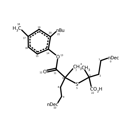 CCCCCCCCCCCCC(C)(SC(C)(CCCCCCCCCCCC)C(=O)Oc1ccc(C)cc1CCCC)C(=O)O